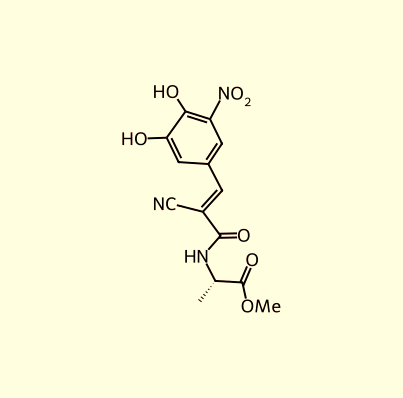 COC(=O)[C@H](C)NC(=O)/C(C#N)=C/c1cc(O)c(O)c([N+](=O)[O-])c1